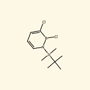 CC(C)(C)[Si](C)(C)N1C=CC=C(Cl)B1Cl